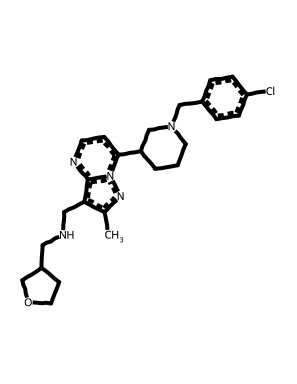 Cc1nn2c(C3CCCN(Cc4ccc(Cl)cc4)C3)ccnc2c1CNCC1CCOC1